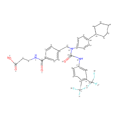 O=C(O)CCNC(=O)c1ccc(CN(C(=O)Nc2ccc(C(F)(F)F)c(C(F)(F)F)c2)c2ccc(C3CCCCC3)cc2)cc1